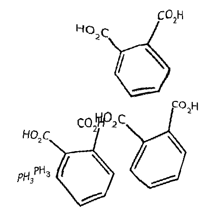 O=C(O)c1ccccc1C(=O)O.O=C(O)c1ccccc1C(=O)O.O=C(O)c1ccccc1C(=O)O.P.P